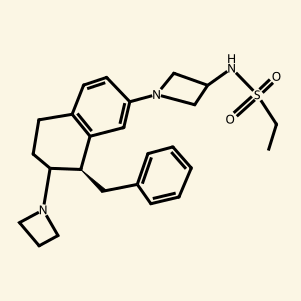 CCS(=O)(=O)NC1CN(c2ccc3c(c2)[C@@H](Cc2ccccc2)C(N2CCC2)CC3)C1